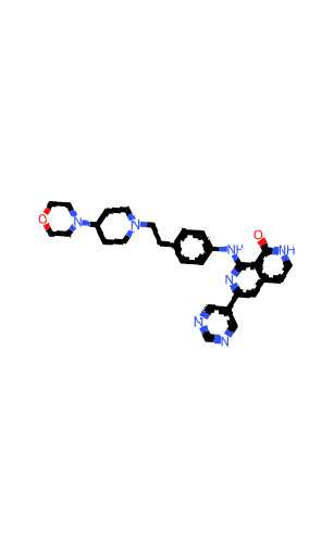 O=c1[nH]ccc2cc(-c3cncnc3)nc(Nc3ccc(CCN4CCC(N5CCOCC5)CC4)cc3)c12